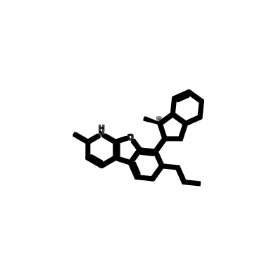 CCCC1CC=c2c3c(oc2=C1C1CC2CCC=CC2[C@@H]1C)NC(C)C=C3